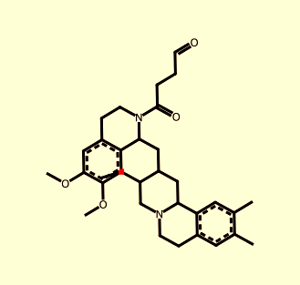 CCC1CN2CCc3cc(C)c(C)cc3C2CC1CC1c2cc(OC)c(OC)cc2CCN1C(=O)CCC=O